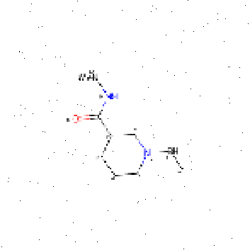 CBN1CCCC(C(=O)NNC)C1